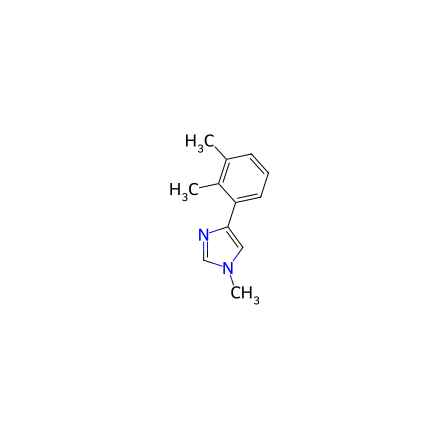 Cc1cccc(-c2cn(C)cn2)c1C